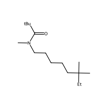 CCC(C)(C)CCCCCN(C)C(=O)C(C)(C)C